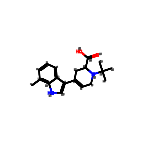 Cc1cccc2c(C3=CCN(C(C)(C)C)C(C(=O)O)C3)c[nH]c12